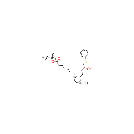 CC(C)OC(=O)CCCCCC[C@H]1CC[C@@H](O)C1CCC(O)CSc1ccccc1